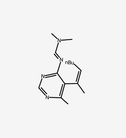 CCCC/C=C(/C)c1c(C)ncnc1/N=C/N(C)C